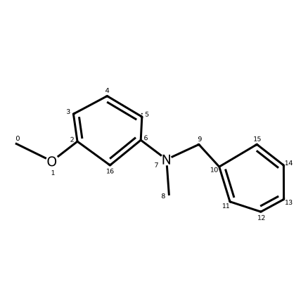 COc1cc[c]c(N(C)Cc2ccccc2)c1